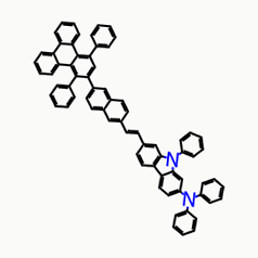 C(=C\c1ccc2c3ccc(N(c4ccccc4)c4ccccc4)cc3n(-c3ccccc3)c2c1)/c1ccc2cc(-c3cc(-c4ccccc4)c4c5ccccc5c5ccccc5c4c3-c3ccccc3)ccc2c1